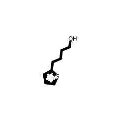 OCC[CH]Cc1cccs1